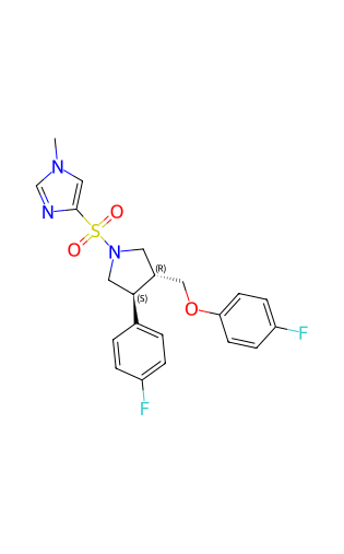 Cn1cnc(S(=O)(=O)N2C[C@H](COc3ccc(F)cc3)[C@@H](c3ccc(F)cc3)C2)c1